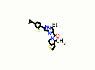 CCc1cc(C(=O)N2CCc3sccc3C2C)nc2cc(-c3ccc(C4CC4)cc3F)nn12